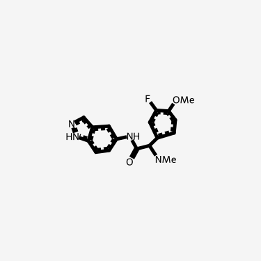 CNC(C(=O)Nc1ccc2[nH]ncc2c1)c1ccc(OC)c(F)c1